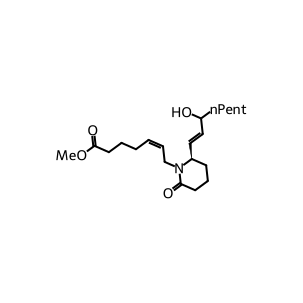 CCCCCC(O)/C=C/[C@H]1CCCC(=O)N1C/C=C\CCCC(=O)OC